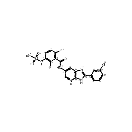 CCCS(=O)(=O)Nc1ccc(F)c(C(=O)Nc2cnc3[nH]c(-c4cccc(Cl)c4)nc3c2)c1F